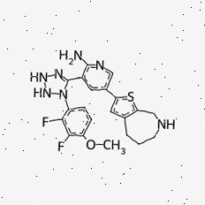 COc1ccc(N2NNN=C2c2cc(-c3cc4c(s3)CNCCC4)cnc2N)c(F)c1F